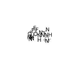 CN1C(C)(C)CC(Nc2nc(Nc3cc(-n4nnn(C)c4=O)c(C4CC4)c(C(F)(F)F)c3)ncc2C#N)CC1(C)C